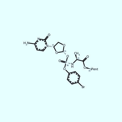 CCC[C@H](C)OC(=O)[C@H](C)N[P@@](=O)(Oc1ccc(Br)cc1)O[C@H]1OC[C@@H](n2ccc(N)nc2=O)O1